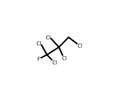 FC(Cl)(Cl)C(Cl)(Cl)CCl